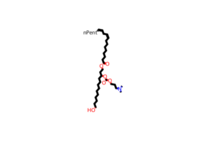 CCCCC/C=C\C/C=C\CCCCCCCC(=O)OCCC(CCCCCCCCCCO)OC(=O)OCCCN(C)C